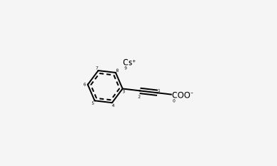 O=C([O-])C#Cc1ccccc1.[Cs+]